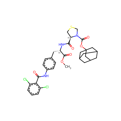 COC(=O)[C@H](Cc1ccc(NC(=O)c2c(Cl)cccc2Cl)cc1)NC(=O)[C@H]1CSCN1C(=O)OC12CC3CC(CC(C3)C1)C2